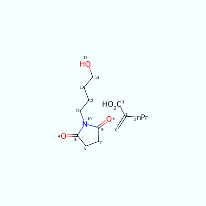 C=C(CCC)C(=O)O.O=C1CCC(=O)N1CCCCO